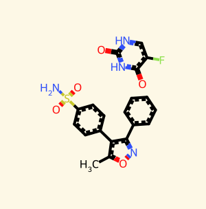 Cc1onc(-c2ccccc2)c1-c1ccc(S(N)(=O)=O)cc1.O=c1[nH]cc(F)c(=O)[nH]1